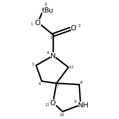 CC(C)(C)OC(=O)N1CCC2(CNCO2)C1